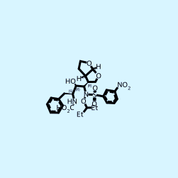 CCC(CC)ON(C([C@H](O)[C@H](Cc1ccccc1)NC(=O)O)[C@@H]1CO[C@H]2OCC[C@H]21)S(=O)(=O)c1cccc([N+](=O)[O-])c1